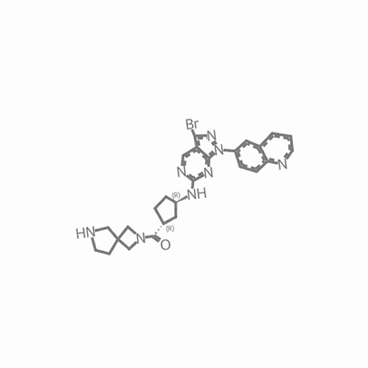 O=C([C@@H]1CC[C@@H](Nc2ncc3c(Br)nn(-c4ccc5ncccc5c4)c3n2)C1)N1CC2(CCNC2)C1